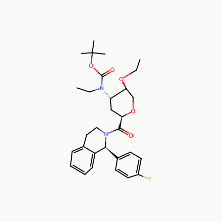 CCO[C@H]1CO[C@@H](C(=O)N2CCc3ccccc3[C@@H]2c2ccc(F)cc2)C[C@@H]1N(CC)C(=O)OC(C)(C)C